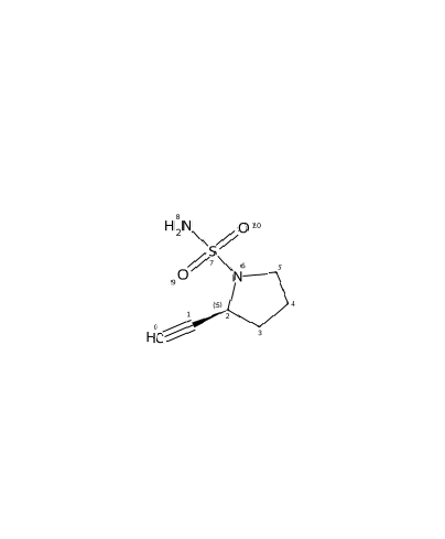 C#C[C@@H]1CCCN1S(N)(=O)=O